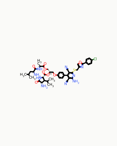 CC(C)C[C@H](N)C(=O)N[C@@H](C)C(=O)OC[C@H](COc1ccc(-c2c(C#N)c(N)nc(SCc3coc(-c4ccc(Cl)cc4)n3)c2C#N)cc1)OC(=O)[C@H]1NC(=O)[C@@H](N)C1C(C)C